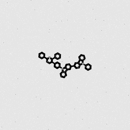 c1ccc(-c2ccc(-c3ccc(-n4c5ccccc5c5cc(-c6ccc7c(c6)c6ccccc6n7-c6ccccc6)ccc54)cc3)c(-c3ccccc3)n2)cc1